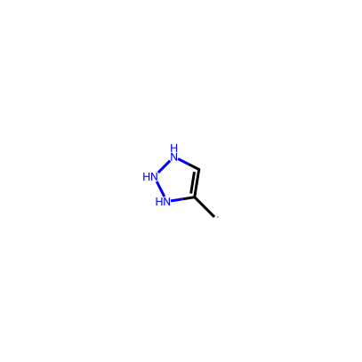 [CH2]C1=CNNN1